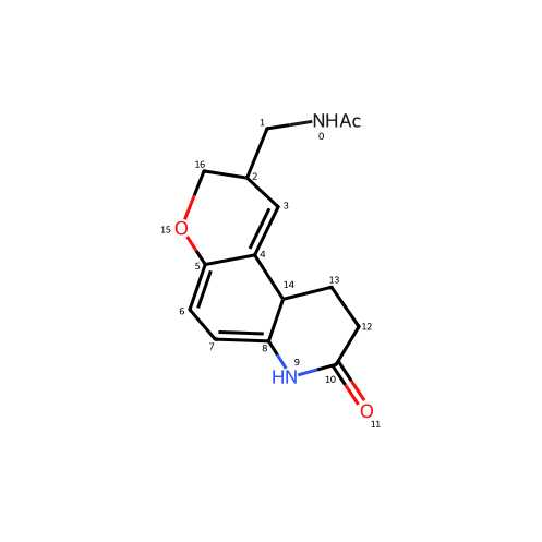 CC(=O)NCC1C=C2C(=CC=C3NC(=O)CCC32)OC1